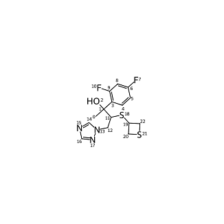 CC(O)(c1ccc(F)cc1F)C(Cn1cncn1)SC1CSC1